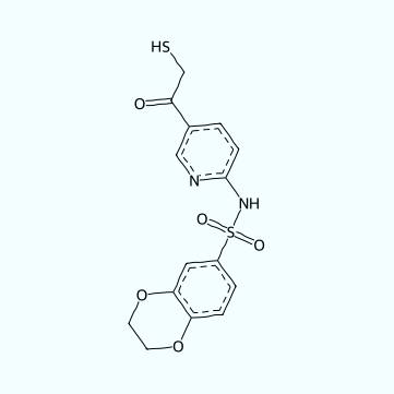 O=C(CS)c1ccc(NS(=O)(=O)c2ccc3c(c2)OCCO3)nc1